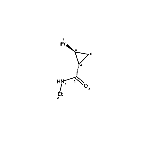 CCNC(=O)[C@H]1C[C@@H]1C(C)C